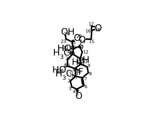 C[C@]12CCC(=O)C=C1CC[C@H]1[C@@H]3C[C@@H](OCC4CO4)[C@](O)(C(=O)CO)[C@@]3(C)C[C@H](O)C12F